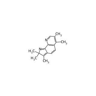 CC1=c2ccc3c(C)c(C)cnc3c2=NC1(C)C